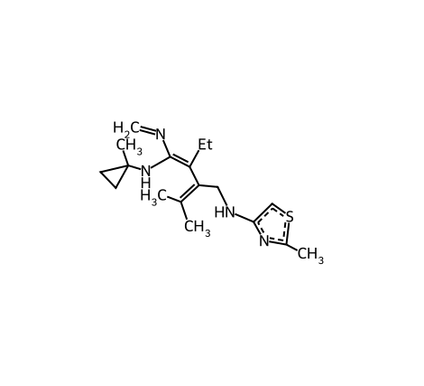 C=N/C(NC1(C)CC1)=C(\CC)C(CNc1csc(C)n1)=C(C)C